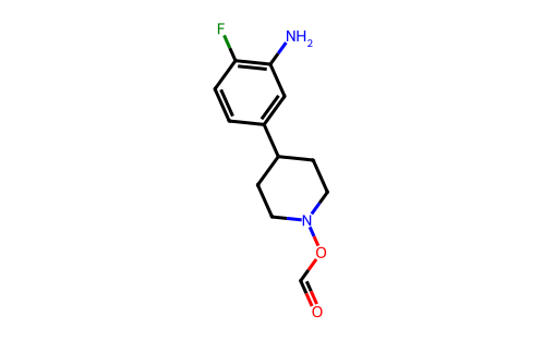 Nc1cc(C2CCN(OC=O)CC2)ccc1F